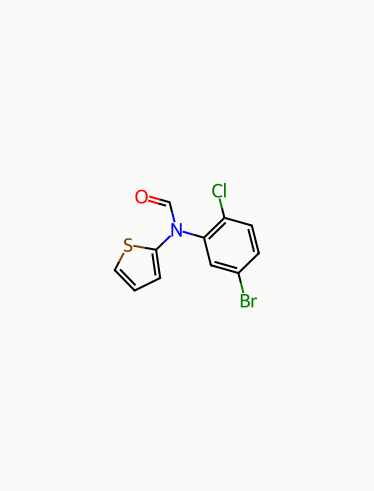 O=CN(c1cccs1)c1cc(Br)ccc1Cl